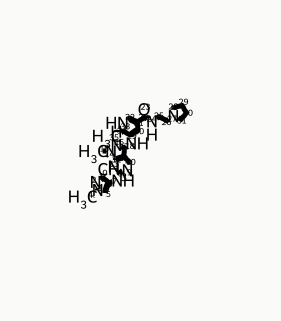 Cc1nn(C)cc1Nc1ncc2c(n1)N(C)NC2NC1=CC(C(=O)NCCN2CCCC2)=CNC1C